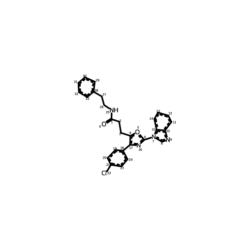 O=C(CCc1oc(-n2cnc3ccccc32)nc1-c1ccc(Cl)cc1)NCCc1ccccc1